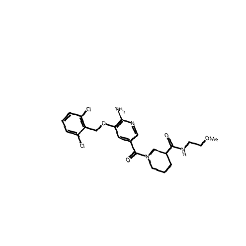 COCCNC(=O)C1CCCN(C(=O)c2cnc(N)c(OCc3c(Cl)cccc3Cl)c2)C1